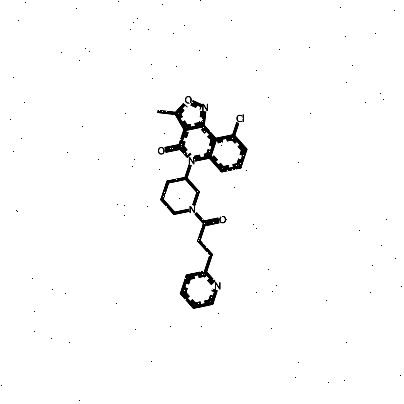 Cc1onc2c1c(=O)n(C1CCCN(C(=O)CCc3ccccn3)C1)c1cccc(Cl)c21